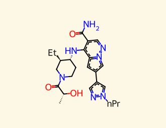 CCCn1cc(-c2cc3c(N[C@@H]4CCN(C(=O)[C@@H](C)O)C[C@H]4CC)c(C(N)=O)cnn3c2)cn1